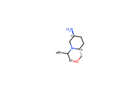 CCCC(CC)N1C[C@@H](N)CC[C@@H]1CO